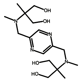 CN(Cc1cnc(CN(C)C(C)(CO)CO)cn1)C(C)(CO)CO